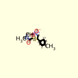 Cc1ccc(C(C[N+](=O)[O-])SCC(=O)N(C)C)cc1